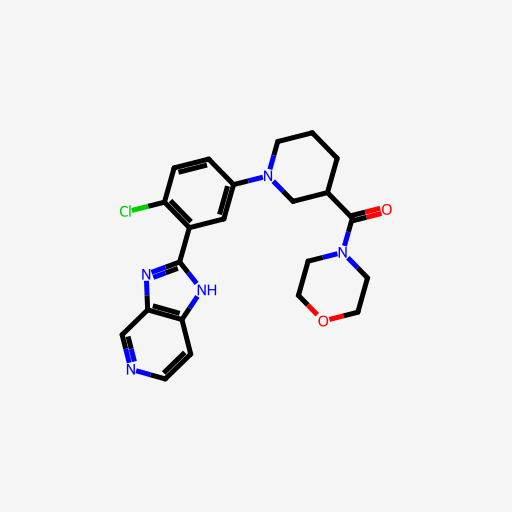 O=C(C1CCCN(c2ccc(Cl)c(-c3nc4cnccc4[nH]3)c2)C1)N1CCOCC1